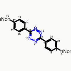 CCCCCCCCCc1ccc(-c2nnc(-c3ccc(CCCCCCCCC)cc3)nn2)cc1